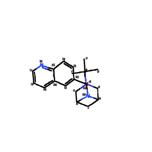 CC(C)(C)N1CC2CC(C1)N2Cc1ccc2ncccc2c1